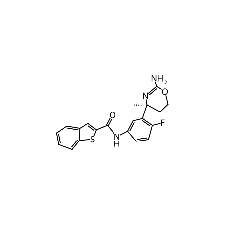 C[C@@]1(c2cc(NC(=O)c3cc4ccccc4s3)ccc2F)CCOC(N)=N1